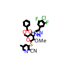 COC1C(n2cc(-c3cc(F)c(Cl)c(F)c3)nn2)[C@H]2OC(c3ccccc3)OCC2O[C@@H]1Sc1cc(C)cnc1C#N